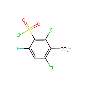 O=C(O)c1c(Cl)cc(F)c(S(=O)(=O)Cl)c1Cl